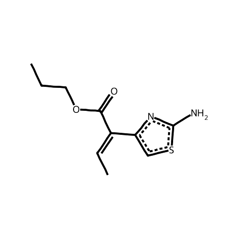 C/C=C(/C(=O)OCCC)c1csc(N)n1